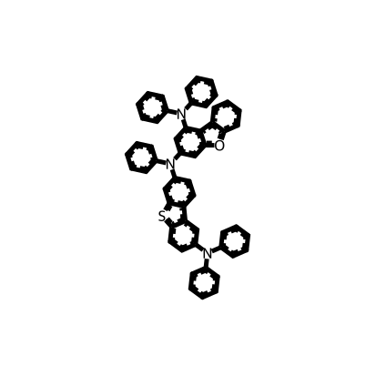 c1ccc(N(c2cc(N(c3ccccc3)c3ccccc3)c3c(c2)oc2ccccc23)c2ccc3c(c2)sc2ccc(N(c4ccccc4)c4ccccc4)cc23)cc1